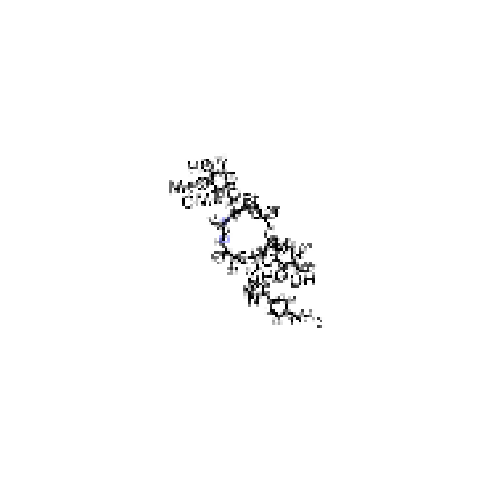 CCO[C@@H](O[C@H]1[C@@H](CCn2cc(-c3ccc(N)cc3)nn2)C[C@@H](C)C(=O)/C=C/C(C)=C/[C@H](COC2OC(C)C(O)C(OC)C2OC)[C@@H](CC)OC(=O)CC[C@@H]1C)C(O)C([C@@H](C)O)N(C)C